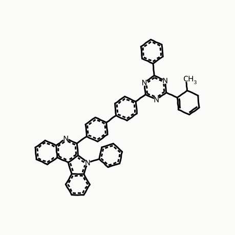 CC1CC=CC=C1c1nc(-c2ccccc2)nc(-c2ccc(-c3ccc(-c4nc5ccccc5c5c6ccccc6n(-c6ccccc6)c45)cc3)cc2)n1